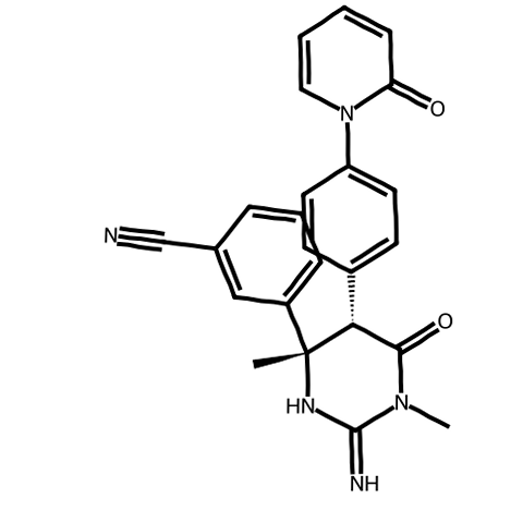 CN1C(=N)N[C@](C)(c2cccc(C#N)c2)[C@H](c2ccc(-n3ccccc3=O)cc2)C1=O